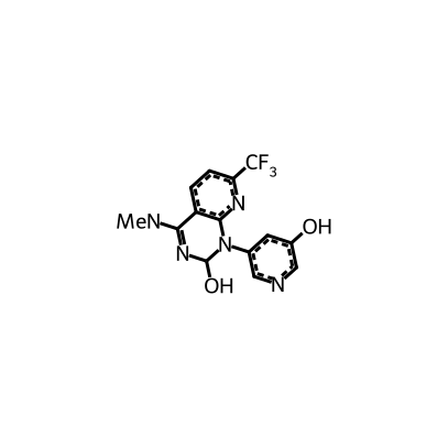 CNC1=NC(O)N(c2cncc(O)c2)c2nc(C(F)(F)F)ccc21